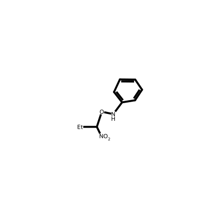 CCC(ONc1ccccc1)[N+](=O)[O-]